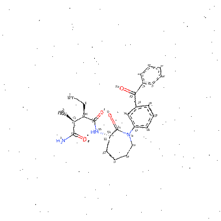 CCCC[C@H](C(N)=O)[C@@H](CC(C)C)C(=O)N[C@H]1CCCCN(c2cccc(C(=O)c3ccccc3)c2)C1=O